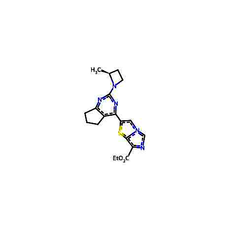 CCOC(=O)c1ncn2cc(-c3nc(N4CC[C@@H]4C)nc4c3CCC4)sc12